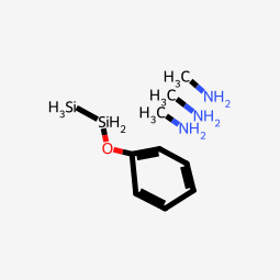 CN.CN.CN.[SiH3][SiH2]Oc1ccccc1